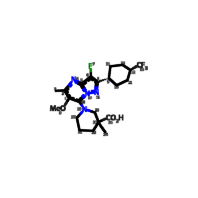 COc1c(C)nc2c(F)c([C@H]3CC[C@H](C(F)(F)F)CC3)nn2c1N1CCCC(C)(C(=O)O)C1